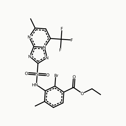 CCOC(=O)c1ccc(C)c(NS(=O)(=O)c2nc3nc(C)cc(C(F)(F)F)n3n2)c1Br